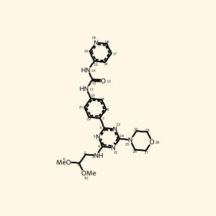 COC(CNc1nc(-c2ccc(NC(=O)Nc3cccnc3)cc2)nc(N2CCOCC2)n1)OC